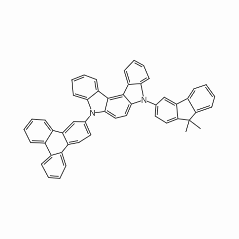 CC1(C)c2ccccc2-c2cc(-n3c4ccccc4c4c5c6ccccc6n(-c6ccc7c8ccccc8c8ccccc8c7c6)c5ccc43)ccc21